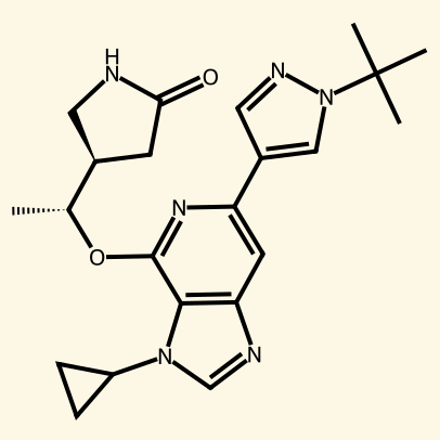 C[C@@H](Oc1nc(-c2cnn(C(C)(C)C)c2)cc2ncn(C3CC3)c12)[C@H]1CNC(=O)C1